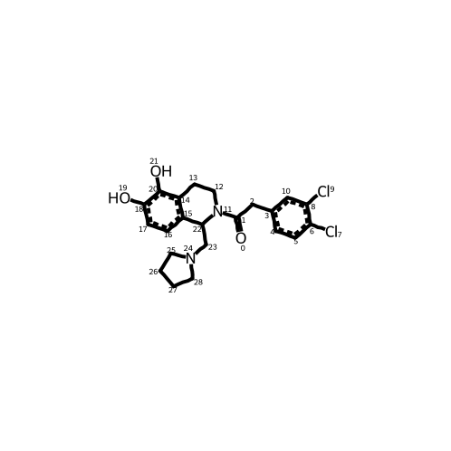 O=C(Cc1ccc(Cl)c(Cl)c1)N1CCc2c(ccc(O)c2O)C1CN1CCCC1